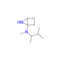 CC(C)C(C)N(C)C12CCC1N2